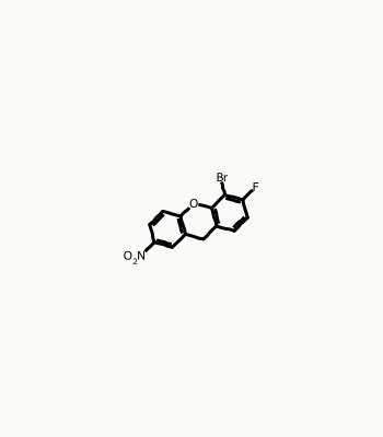 O=[N+]([O-])c1ccc2c(c1)Cc1ccc(F)c(Br)c1O2